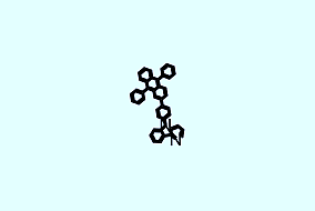 c1ccc(-c2c3ccccc3c(-c3ccccc3)c3cc(-c4ccc(-n5c6ccccc6c6ncccc65)cc4)ccc23)cc1